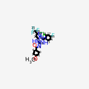 COc1ccc(C(=O)/N=C(/NCc2ccc(F)cc2Cl)Nc2cc(C(F)(F)F)n[nH]2)cc1